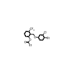 CCC(=O)Oc1cccc(C(F)(F)F)c1COc1ccc(CC)c(Cl)c1